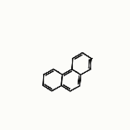 [c]1[c]c2ccc3cc[c]cc3c2cc1